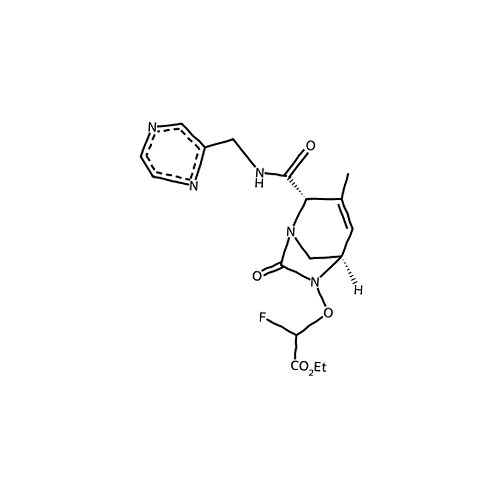 CCOC(=O)C(F)ON1C(=O)N2C[C@H]1C=C(C)[C@H]2C(=O)NCc1cnccn1